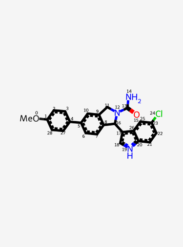 COc1ccc(-c2ccc3c(c2)CN(C(N)=O)C3c2c[nH]c3ccc(Cl)cc23)cc1